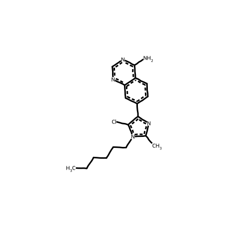 CCCCCCn1c(C)nc(-c2ccc3c(N)ncnc3c2)c1Cl